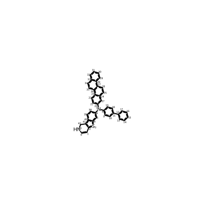 C1=Cc2sc3cc(N(c4ccc(-c5ccccc5)cc4)c4ccc5c(ccc6c7ccccc7ccc56)c4)ccc3c2CN1